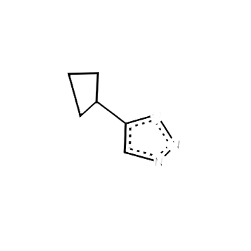 [c]1nnoc1C1CCC1